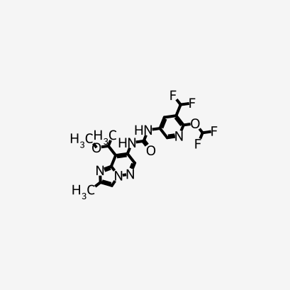 COC(C)c1c(NC(=O)Nc2cnc(OC(F)F)c(C(F)F)c2)cnn2cc(C)nc12